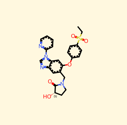 CCS(=O)(=O)c1ccc(Oc2cc3c(cc2CN2CC[C@H](O)C2=O)ncn3-c2ccccn2)cc1